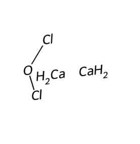 ClOCl.[CaH2].[CaH2]